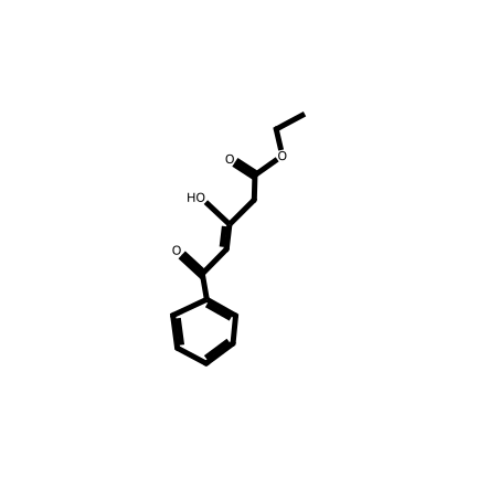 CCOC(=O)CC(O)=CC(=O)c1ccccc1